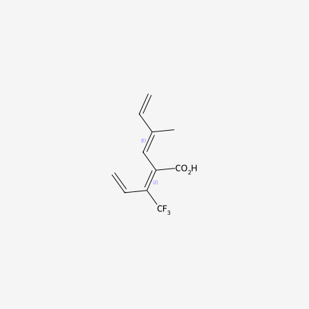 C=C/C(=C(\C=C(/C)C=C)C(=O)O)C(F)(F)F